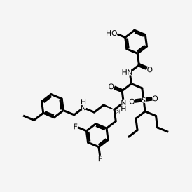 CCCC(CCC)S(=O)(=O)CC(NC(=O)c1cccc(O)c1)C(=O)N[C@H](CCNCc1cccc(CC)c1)Cc1cc(F)cc(F)c1